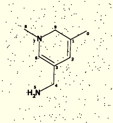 CC1=CC(CN)=CN(C)C1